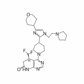 O=C1C[C@@H](C(F)F)c2c(ncnc2N2CCC(c3nc(C4CCOCC4)cn3CCN3CCCC3)CC2)N1